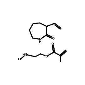 C=C(C)C(=O)OCCNCC.C=CC1CCCCNC1=O